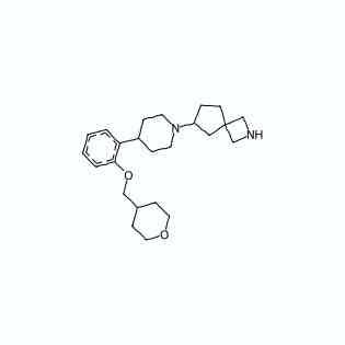 c1ccc(C2CCN(C3CCC4(CNC4)C3)CC2)c(OCC2CCOCC2)c1